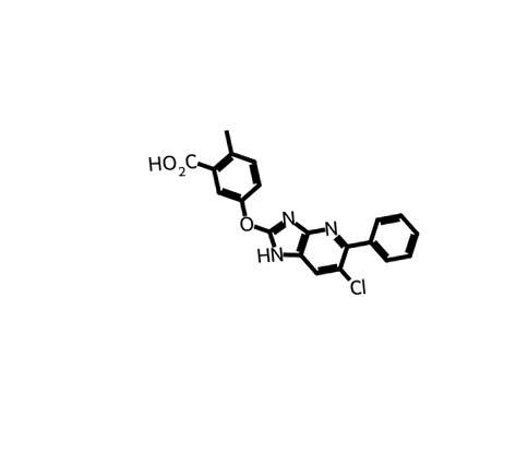 Cc1ccc(Oc2nc3nc(-c4ccccc4)c(Cl)cc3[nH]2)cc1C(=O)O